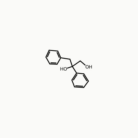 OCC(O)(Cc1ccccc1)c1ccccc1